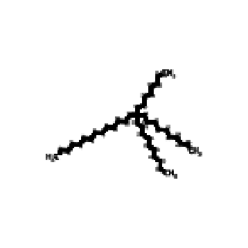 CCCCCCCCCCCCCCC(CCCCCCCC)(CCCCCCCCCC)CCCCCCCCCC